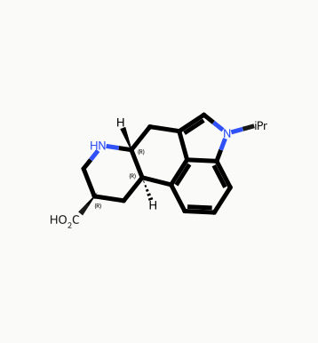 CC(C)n1cc2c3c(cccc31)[C@H]1C[C@@H](C(=O)O)CN[C@@H]1C2